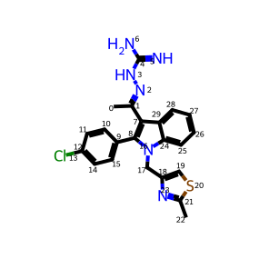 CC(=NNC(=N)N)c1c(-c2ccc(Cl)cc2)n(Cc2csc(C)n2)c2ccccc12